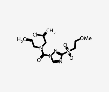 C=CCN(CC(=C)Cl)C(=O)n1cnc(S(=O)(=O)CCOC)n1